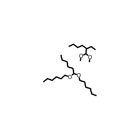 CCCCC(CC)C(OC)OC.CCCCCCOC(CCCCC)OCCCCCC